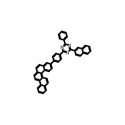 c1ccc(-c2nc(-c3ccc(-c4ccc5c(ccc6ccc7c8ccccc8ccc7c65)c4)cc3)nc(-c3ccc4ccccc4c3)n2)cc1